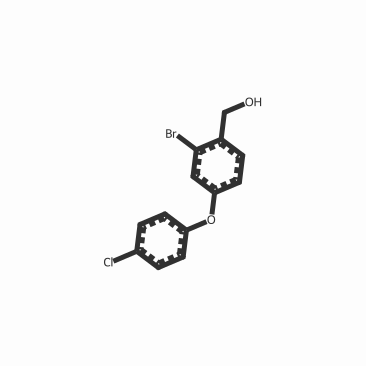 OCc1ccc(Oc2ccc(Cl)cc2)cc1Br